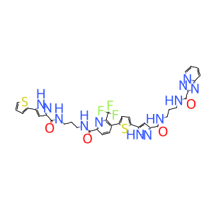 O=C(NCCCNC(=O)c1ccc(-c2ccc(-c3cc(C(=O)NCCCNC(=O)c4nc5ccccn5n4)n[nH]3)s2)c(C(F)(F)F)n1)c1cc(-c2cccs2)[nH]n1